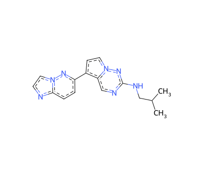 CC(C)CNc1ncc2c(-c3ccc4nccn4n3)ccn2n1